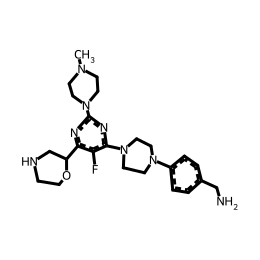 CN1CCN(c2nc(C3CNCCO3)c(F)c(N3CCN(c4ccc(CN)cc4)CC3)n2)CC1